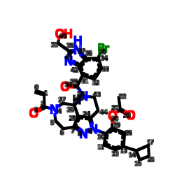 C=CC(=O)N1CCc2nn(-c3ccc(C4CCC4)cc3OC(C)=O)c3c2[C@@H](C1)N(C(=O)c1ccc(Br)c2[nH]c(CO)nc12)CC3